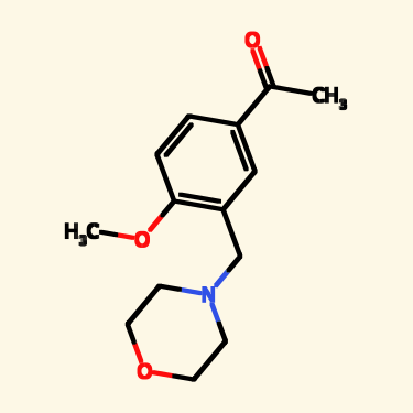 COc1ccc(C(C)=O)cc1CN1CCOCC1